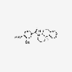 COc1ccc(C(=O)N2CCC[C@@H]3c4ccccc4CC[C@@H]32)cc1N